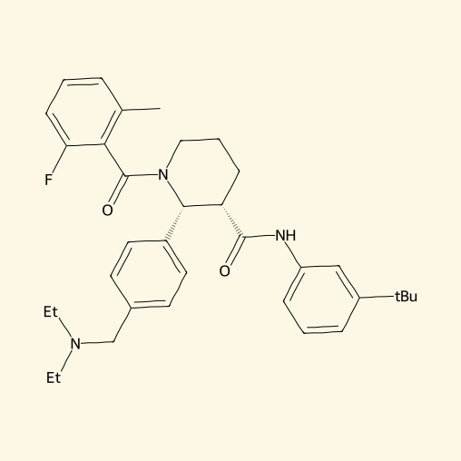 CCN(CC)Cc1ccc([C@H]2[C@@H](C(=O)Nc3cccc(C(C)(C)C)c3)CCCN2C(=O)c2c(C)cccc2F)cc1